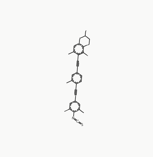 Cc1cc(C#Cc2c(C)cc3c(c2C)CCC(C)C3)ccc1C#Cc1cc(C)c(N=C=S)c(C)c1